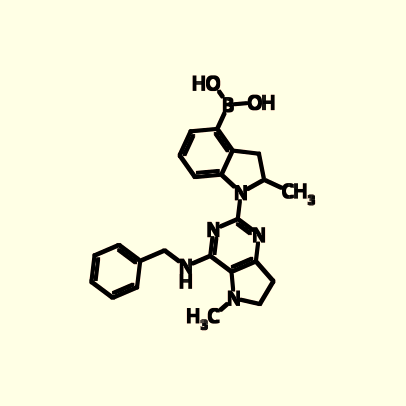 CC1Cc2c(B(O)O)cccc2N1c1nc2c(c(NCc3ccccc3)n1)N(C)CC2